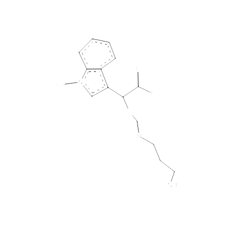 CCCCCCCCn1cc(C(CCNCCCN)C(CC)CC)c2ccccc21